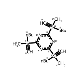 C#S(C)(CCCC)c1nc(S(#C)(C)CCCC)nc(S(#C)(C)CCCC)n1